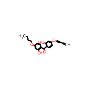 C#CC#COc1ccc(C(=O)c2ccc(OCCCC)cc2O)c(O)c1